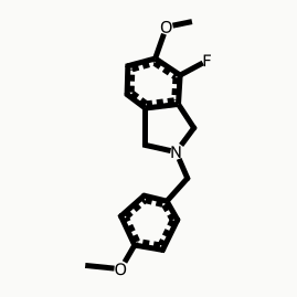 COc1ccc(CN2Cc3ccc(OC)c(F)c3C2)cc1